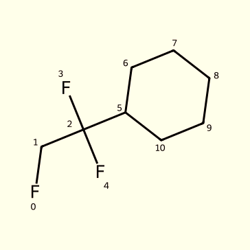 FCC(F)(F)C1CCCCC1